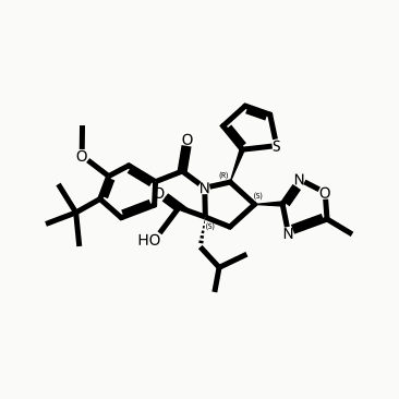 COc1cc(C(=O)N2[C@@H](c3cccs3)[C@@H](c3noc(C)n3)C[C@@]2(CC(C)C)C(=O)O)ccc1C(C)(C)C